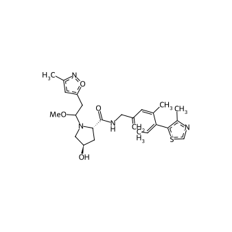 C=C(/C=C(C)\C(=C/C)c1scnc1C)CNC(=O)[C@@H]1C[C@@H](O)CN1C(Cc1cc(C)no1)OC